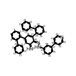 N=C1C=C(c2ccccc2-c2ccccc2)C=C(c2ccccc2-c2ccccc2)/C1=N/Nc1cccc(-c2ccncc2)c1